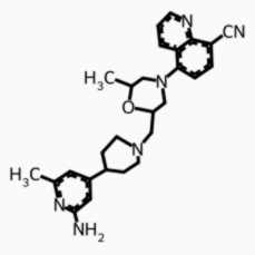 Cc1cc(C2CCN(CC3CN(c4ccc(C#N)c5ncccc45)CC(C)O3)CC2)cc(N)n1